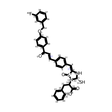 O=C(/C=C/c1ccc(/C=C2/N[C@H](S)N(C(Cc3ccccc3)C(=O)O)[S+]2[O-])cc1)c1ccc(OCc2cccc(F)c2)cc1